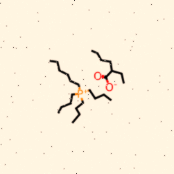 CCCCC(CC)C(=O)[O-].CCCCCC[P+](CCCC)(CCCC)CCCC